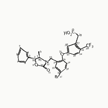 C[C@@H]1[C@H](c2ccccc2)OC(=O)N1Cc1cc(Br)ccc1Oc1ccc(C(F)(F)F)c(CC(=O)O)c1